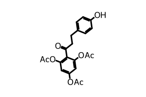 CC(=O)Oc1cc(OC(C)=O)c(C(=O)CCc2ccc(O)cc2)c(OC(C)=O)c1